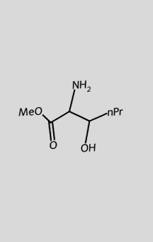 CCCC(O)C(N)C(=O)OC